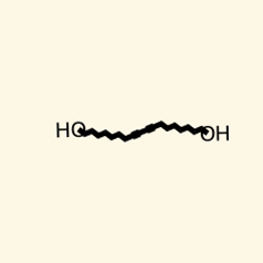 OCCCCCCCC#CC#CCCCCCCCO